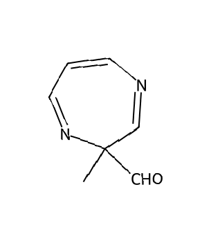 CC1(C=O)C=NC=CC=N1